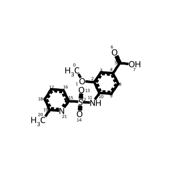 COc1cc(C(=O)O)ccc1NS(=O)(=O)c1cccc(C)n1